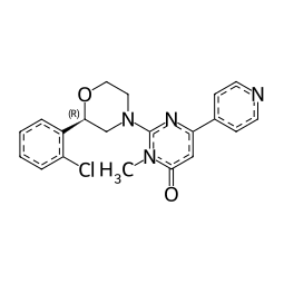 Cn1c(N2CCO[C@H](c3ccccc3Cl)C2)nc(-c2ccncc2)cc1=O